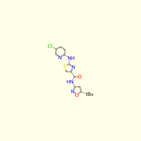 CC(C)(C)c1cc(NC(=O)c2csc(Nc3ccc(Cl)cn3)n2)no1